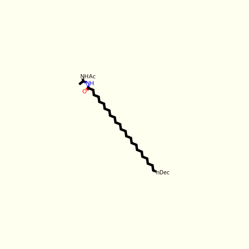 CCCCCCCCCCCCCCCCCCCCCCCCCCCCCCCCCCC(=O)NC(C)NC(C)=O